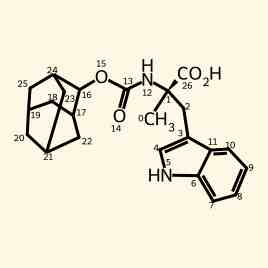 C[C@@](Cc1c[nH]c2ccccc12)(NC(=O)OC1C2CC3CC(C2)CC1C3)C(=O)O